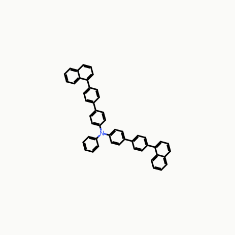 c1ccc(N(c2ccc(-c3ccc(-c4cccc5ccccc45)cc3)cc2)c2ccc(-c3ccc(-c4cccc5ccccc45)cc3)cc2)cc1